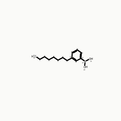 CCCCCCCCc1cccc(B(O)O)c1